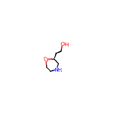 OCC[C@H]1CNCCO1